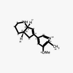 COc1cc(C2=C[C@H]3NCCC[C@H]3C2)cnc1C